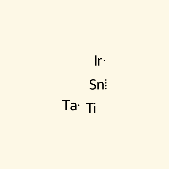 [Ir].[Sn].[Ta].[Ti]